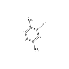 Bc1ccc(C)c(F)c1